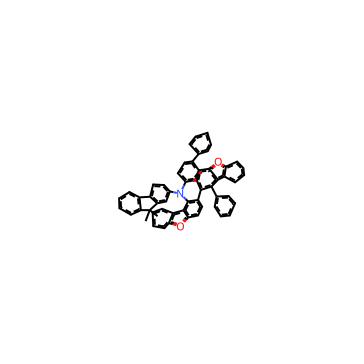 CC1(C)c2ccccc2-c2ccc(N(c3ccc(-c4ccccc4)cc3)c3c(-c4ccc5oc6ccccc6c5c4-c4ccccc4)ccc4oc5ccccc5c34)cc21